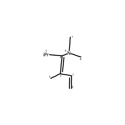 C=C/C(C)=C(/C(C)C)N(C)C